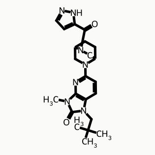 Cn1c(=O)n(CC(C)(C)C)c2ccc(N3CC4CCC3CN4C(=O)c3ccn[nH]3)nc21